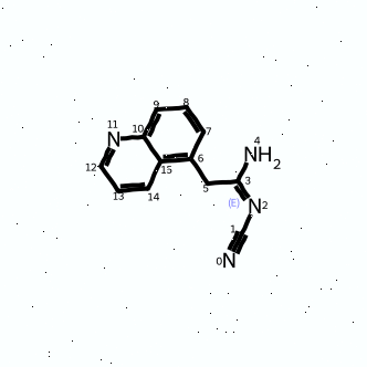 N#C/N=C(/N)Cc1cccc2ncccc12